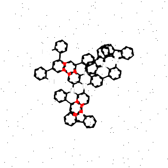 Cc1ccccc1-c1cc(-c2cc3c4c(c2)N(c2ccccc2-c2ccccc2)c2cc(-n5c6ccccc6c6ccccc65)ccc2B4c2ccc(-c4cccc(-n5c6ccccc6c6ccccc65)c4-n4c5ccccc5c5ccccc54)cc2N3c2ccccc2-c2ccccc2)cc(-c2ccccc2C)c1